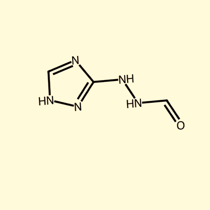 O=CNNc1nc[nH]n1